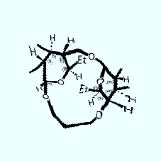 CC[C@H]1O[C@@H]2OCCCCO[C@H]3[C@H](C)[C@@H](C)C(OC[C@H]1[C@H](C)[C@H]2C)O[C@@H]3CC